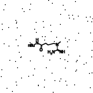 [CH2]CCCNC(=O)CCCN(C)C(=N)N